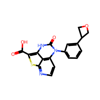 O=C(O)c1sc2nccc3c2c1NC(=O)N3c1cccc(C2COC2)c1